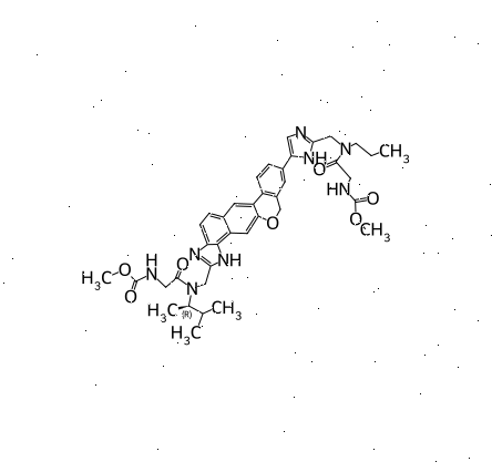 CCCN(Cc1ncc(-c2ccc3c(c2)COc2cc4c(ccc5nc(CN(C(=O)CNC(=O)OC)[C@H](C)C(C)C)[nH]c54)cc2-3)[nH]1)C(=O)CNC(=O)OC